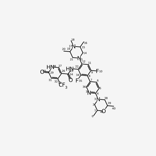 CC1CN(c2ccc(-c3c(F)cc(N4CC(C)N(C)C(C)C4)c(NC(=O)c4c[nH]c(=O)cc4C(F)(F)F)c3F)cn2)CC(C)O1